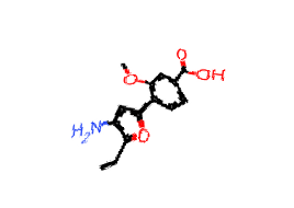 CCc1oc(-c2ccc(C(=O)O)cc2OC)cc1N